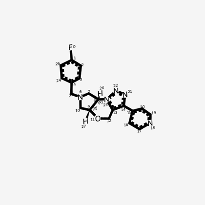 Fc1ccc(CN2C[C@@H]3[C@@H](C2)OCc2c(-c4ccncc4)nnn23)cc1